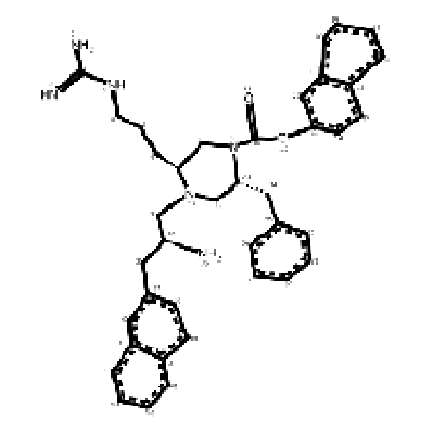 N=C(N)NCCC[C@H]1CN(C(=O)Cc2ccc3ccccc3c2)[C@H](Cc2ccccc2)CN1C[C@@H](N)Cc1ccc2ccccc2c1